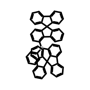 c1ccc(N(c2cccc3c2-c2ccccc2C32c3ccccc3-c3ccccc32)c2cccc3c2C2(c4ccccc4-c4ccccc42)c2ccccc2-3)cc1